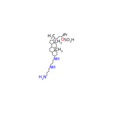 CC(C)C(CCC(C)C1CCC2C3CCC4CC(NCCCNCCCCN)CCC4(C)C3CCC12C)OS(=O)(=O)O